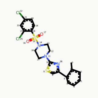 Cc1ccccc1-c1csc(N2CCN(S(=O)(=O)c3ccc(Cl)cc3Cl)CC2)n1